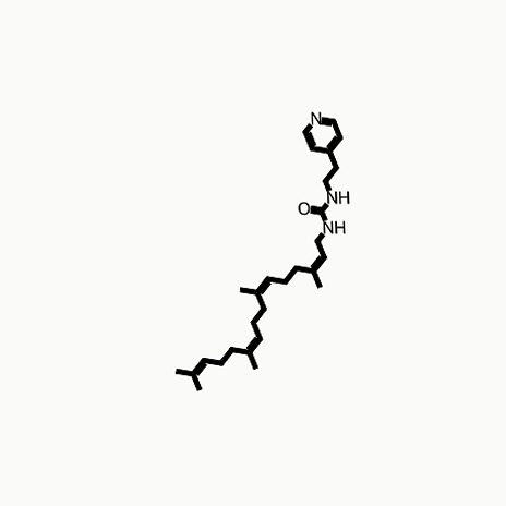 CC(C)=CCCC(C)=CCCC(C)=CCCC(C)=CCNC(=O)NCCc1ccncc1